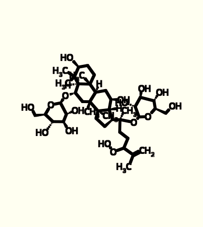 C=C(C)C(CC[C@](C)(O[C@@H]1O[C@H](CO)[C@@H](O)[C@H](O)[C@H]1O)[C@H]1CC[C@]2(C)[C@@H]1[C@H](O)C[C@@H]1[C@@]3(C)CC[C@H](O)C(C)(C)[C@@H]3[C@@H](O[C@@H]3O[C@H](CO)[C@@H](O)[C@H](O)[C@H]3O)C[C@]12C)OO